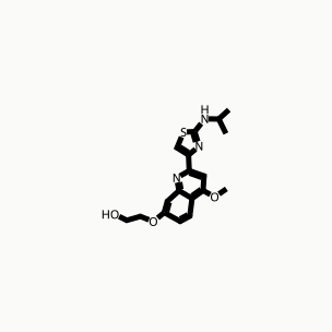 COc1cc(-c2csc(NC(C)C)n2)nc2cc(OCCO)ccc12